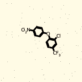 O=[N+]([O-])c1[c]cc(Oc2ccc(C(F)(F)F)cc2Cl)cc1